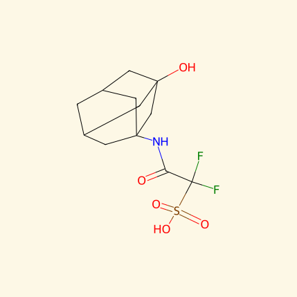 O=C(NC12CC3CC(CC(O)(C3)C1)C2)C(F)(F)S(=O)(=O)O